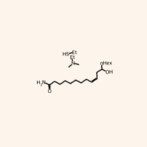 CCCCCCC(O)C/C=C\CCCCCCCC(N)=O.CCN(C)C.CCS